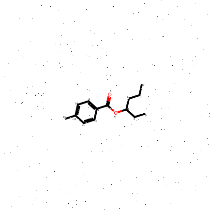 CCCC(CC)OC(=O)c1ccc(C)cc1